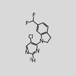 [2H]c1ncc(Cl)c(N2CCc3ccc(C(F)F)cc32)n1